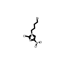 O=[N+]([O-])c1cn(CCCCBr)c(Cl)n1